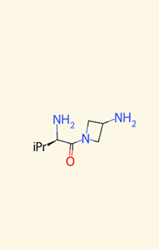 CC(C)[C@@H](N)C(=O)N1CC(N)C1